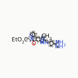 CCOC(=O)CCN(C(=O)C1=CC2N=C(CNc3ccc(C(=N)N)cc3)N(C)C2C=C1)c1ccccn1